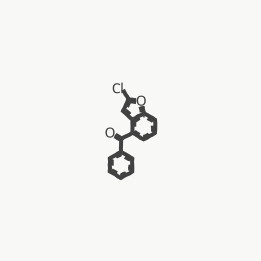 O=C(c1ccccc1)c1cccc2oc(Cl)cc12